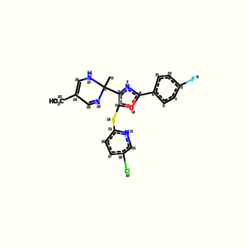 CC1(c2nc(-c3ccc(F)cc3)oc2Sc2ccc(Cl)cn2)N=CC(C(=O)O)=CN1